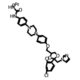 CCCNC(=O)Nc1ccc(N2CCN(c3ccc(OCC4COC(Cn5ccnc5)(c5ccc(Cl)cc5Cl)O4)cc3)CC2)cc1